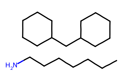 C1CCC(CC2CCCCC2)CC1.CCCCCCCN